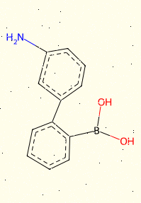 Nc1cccc(-c2ccccc2B(O)O)c1